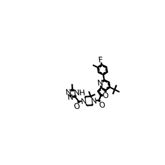 Cc1nnc(C(=O)N2CCN(C(=O)c3cc4nc(-c5ccc(F)c(C)c5)cc(C(C)(C)C)c4o3)C(C)(C)C2)[nH]1